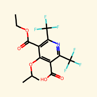 CCOC(=O)c1c(C(F)(F)F)nc(C(F)(F)F)c(C(=O)O)c1OC(C)C